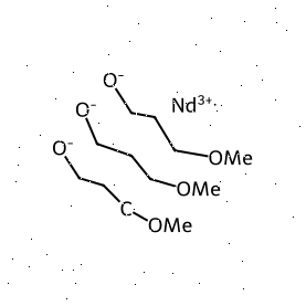 COCCC[O-].COCCC[O-].COCCC[O-].[Nd+3]